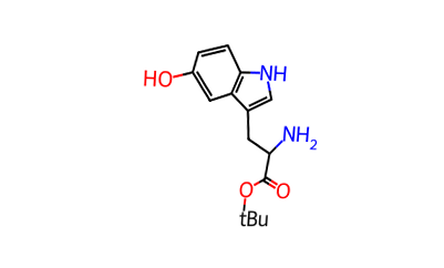 CC(C)(C)OC(=O)C(N)Cc1c[nH]c2ccc(O)cc12